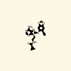 C#Cc1cc2c(cc1Sc1nc3c(N)ncnc3n1CCNC(=O)C1CC1)OCO2